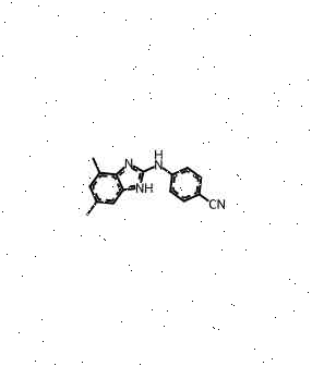 Cc1cc(C)c2nc(Nc3ccc(C#N)cc3)[nH]c2c1